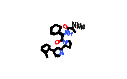 CNC(C)C(=O)NC(C(=O)N1CCCC1c1cc(-c2ccccc2C)ccn1)C1CCCCC1